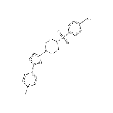 CC(C)(C)c1ccc(S(=O)(=O)N2CCN(c3nc(-c4ccc(Cl)cc4)cs3)CC2)cc1